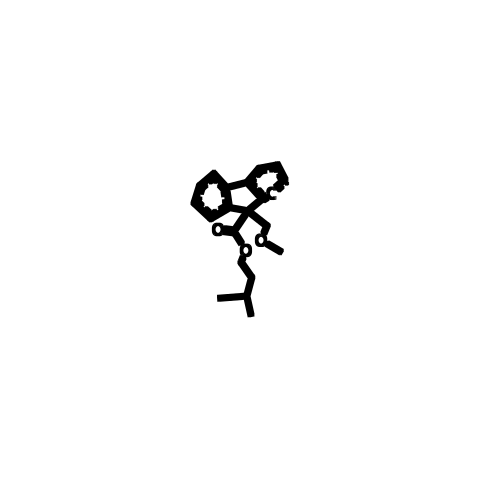 COCC1(C(=O)OCCC(C)C)c2ccccc2-c2ccccc21